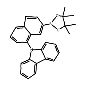 CC1(C)OB(c2ccc3cccc(-n4c5ccccc5c5ccccc54)c3c2)OC1(C)C